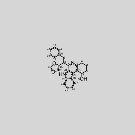 OC1CCCc2nc(C(Cc3ccccc3)C3=COCO3)c3[nH]c4ccccc4c3c21